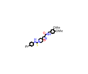 COc1ccc(CNC(=O)C2=NOC3(CCN(C(=S)Nc4ccc(C(C)C)cc4)CC3)C2)cc1OC